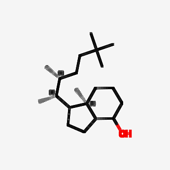 C[C@H](CCC(C)(C)C)[C@@H](C)C1CCC2C(O)CCC[C@@]21C